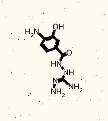 NN=C(N)NNC(=O)c1ccc(N)c(O)c1